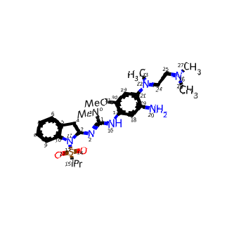 CNC(=NC1Cc2ccccc2N1S(=O)(=O)C(C)C)Nc1cc(N)c(N(C)CCN(C)C)cc1OC